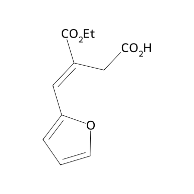 CCOC(=O)C(=Cc1ccco1)CC(=O)O